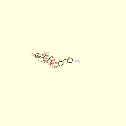 C[C@]12C=CC(=O)C=C1CC[C@@H]1[C@@H]2[C@@H](O)C[C@@]2(C)[C@H]1C[C@H]1O[C@H](c3c(Cl)ccc(Cc4ccc(N)cc4)c3F)O[C@]12C(=O)CO